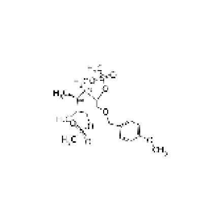 COc1ccc(COCC(OS(C)(=O)=O)[C@@H](C)[C@H](C)C(C)COS(C)(=O)=O)cc1